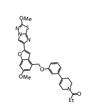 CCC(=O)N1CC=C(c2cccc(OCc3cc(OC)cc4oc(-c5cn6nc(OC)sc6n5)cc34)c2)CC1